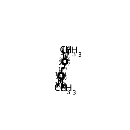 CCN(CC)c1ccc(C=Cc2ccc(N(CC)CC)cc2)cc1